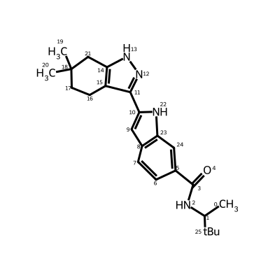 CC(NC(=O)c1ccc2cc(-c3n[nH]c4c3CCC(C)(C)C4)[nH]c2c1)C(C)(C)C